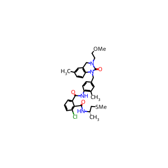 COCCN1Cc2cc(C)ccc2N(Cc2ccc(NC(=O)c3cccc(Cl)c3C(=O)N[C@@H](C)CSC)c(C)c2)C1=O